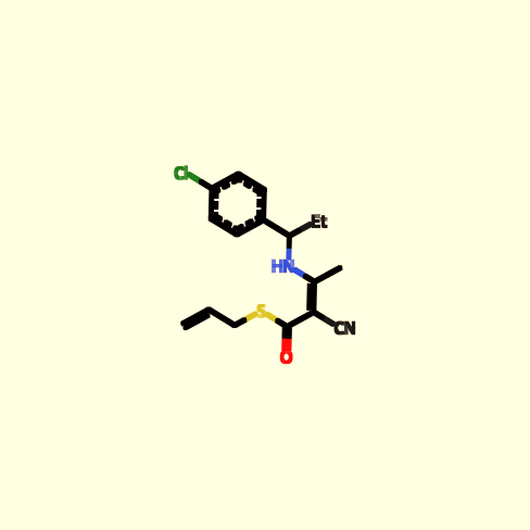 C=CCSC(=O)C(C#N)=C(C)NC(CC)c1ccc(Cl)cc1